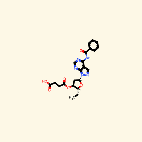 CC[C@H]1O[C@@H](n2ncc3c(NC(=O)c4ccccc4)ncnc32)CC1OC(=O)CCC(=O)O